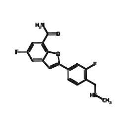 CNCc1ccc(-c2cc3cc(F)cc(C(N)=O)c3o2)cc1F